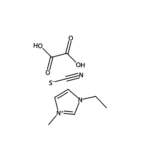 CCn1cc[n+](C)c1.N#C[S-].O=C(O)C(=O)O